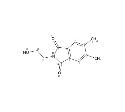 Cc1cc2c(cc1C)C(=O)N(CCO)C2=O